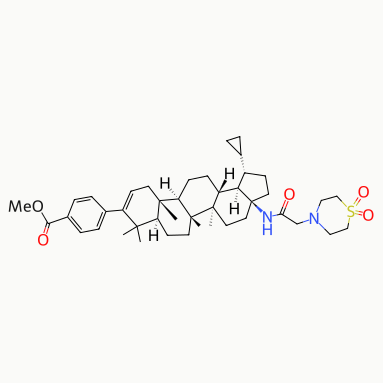 COC(=O)c1ccc(C2=CC[C@]3(C)[C@H]4CC[C@@H]5[C@H]6[C@H](C7CC7)CC[C@]6(NC(=O)CN6CCS(=O)(=O)CC6)CC[C@@]5(C)[C@]4(C)CC[C@H]3C2(C)C)cc1